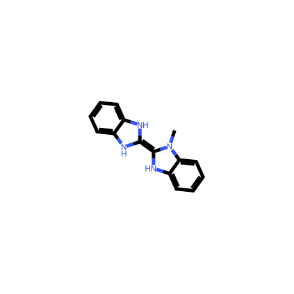 CN1C(=C2Nc3ccccc3N2)Nc2ccccc21